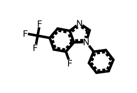 Fc1cc(C(F)(F)F)cc2ncn(-c3ccccc3)c12